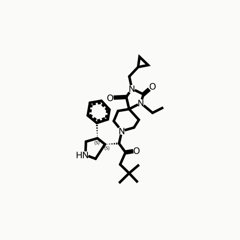 CCN1C(=O)N(CC2CC2)C(=O)C12CCN(C(C(=O)CC(C)(C)C)[C@@H]1CNC[C@@H]1c1ccccc1)CC2